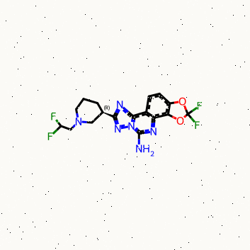 Nc1nc2c3c(ccc2c2nc([C@@H]4CCCN(CC(F)F)C4)nn12)OC(F)(F)O3